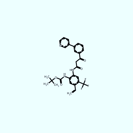 C=Cc1cc(NC(=O)OC(C)(C)C)c(NC(=O)CC(=O)c2cccc(-c3cccnc3)c2)cc1C(F)(F)F